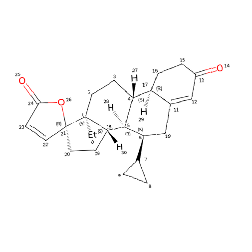 CC[C@]12CC[C@H]3[C@@H]([C@H](C4CC4)CC4=CC(=O)CC[C@@H]43)[C@@H]1CC[C@@]21C=CC(=O)O1